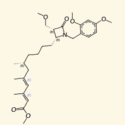 COC[C@@H]1C(=O)N(Cc2ccc(OC)cc2OC)[C@@H]1CCCC[C@@H](C)C/C(C)=C/C(C)=C/C(=O)OC